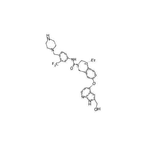 CC[C@H]1CN(C(=O)Nc2ccc(CN3CCNCC3)c(C(F)(F)F)c2)Cc2cc(Oc3ccnc4[nH]c(CO)cc34)ccc21